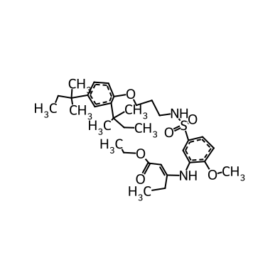 CCOC(=O)C=C(CC)Nc1cc(S(=O)(=O)NCCCOc2ccc(C(C)(C)CC)cc2C(C)(C)CC)ccc1OC